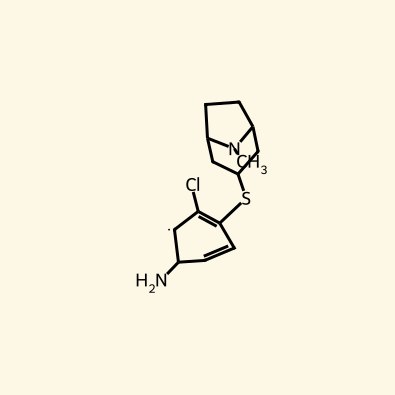 CN1C2CCC1CC(SC1=C(Cl)[CH]C(N)C=C1)C2